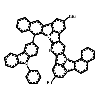 CC(C)(C)c1cc2c3cc4c(nc3n3c5c(-c6ccc7c(c6)c6ccccc6n7-c6ccccc6)c6ccccc6cc5c(c1)c23)c1cc(C(C)(C)C)cc2c3ccc5ccccc5c3n4c21